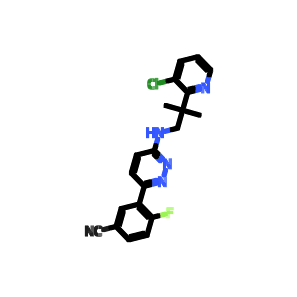 CC(C)(CNc1ccc(-c2cc(C#N)ccc2F)nn1)c1ncccc1Cl